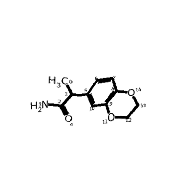 CC(C(N)=O)c1ccc2c(c1)OCCO2